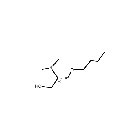 CCCCOC[C@H](CO)N(C)C